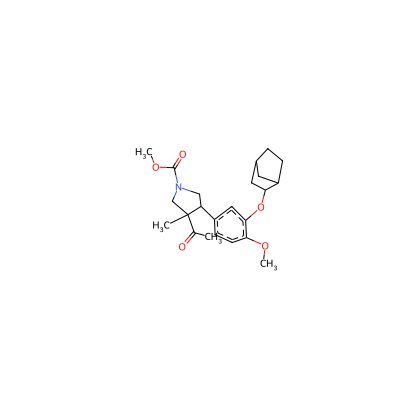 COC(=O)N1CC(c2ccc(OC)c(OC3CC4CCC3C4)c2)C(C)(C(C)=O)C1